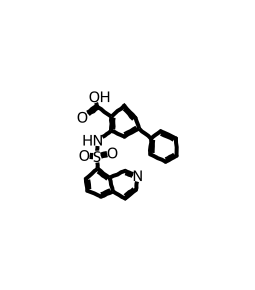 O=C(O)c1ccc(-c2ccccc2)cc1NS(=O)(=O)c1cccc2ccncc12